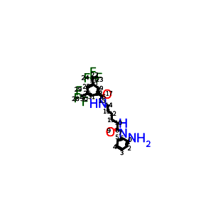 Nc1ccccc1NC(=O)CCCCCNC(=O)c1cc(C(F)(F)F)cc(C(F)(F)F)c1